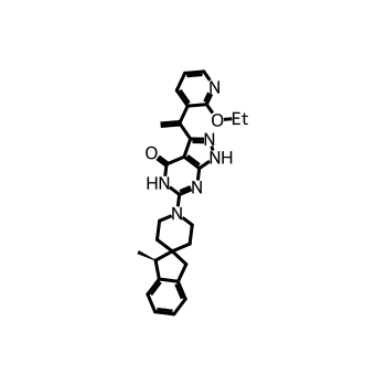 C=C(c1cccnc1OCC)c1n[nH]c2nc(N3CCC4(CC3)Cc3ccccc3[C@H]4C)[nH]c(=O)c12